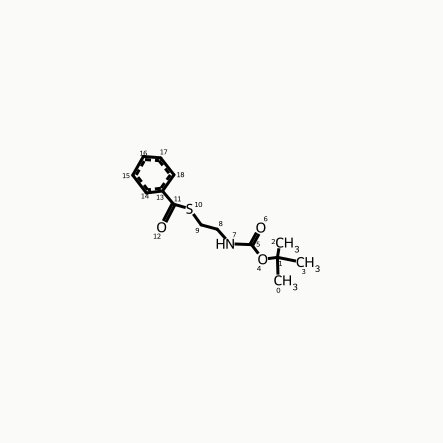 CC(C)(C)OC(=O)NCCSC(=O)c1ccccc1